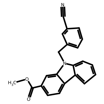 COC(=O)c1ccc2c3ccccc3n(Cc3cccc(C#N)c3)c2c1